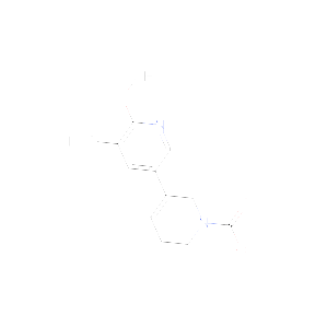 COc1ncc(C2=CCCN(C(=O)O)C2)cc1C